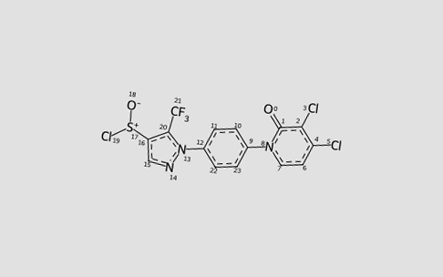 O=c1c(Cl)c(Cl)ccn1-c1ccc(-n2ncc([S+]([O-])Cl)c2C(F)(F)F)cc1